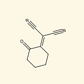 N#CC(C#N)=C1CCCCC1=O